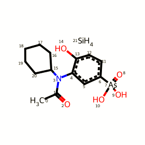 CC(=O)N(c1cc([As](=O)(O)O)ccc1O)C1CCCCC1.[SiH4]